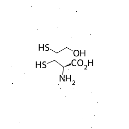 N[C@@H](CS)C(=O)O.OCCS